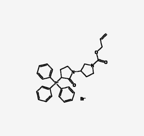 C=CCOC(=O)N1CCC(N2CCC([P+](c3ccccc3)(c3ccccc3)c3ccccc3)C2=O)C1.[Br-]